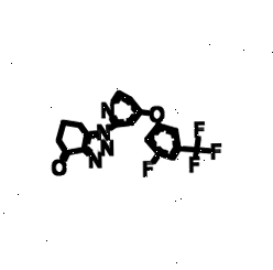 O=C1CCCc2c1nnn2-c1cc(Oc2cc(F)cc(C(F)(F)F)c2)ccn1